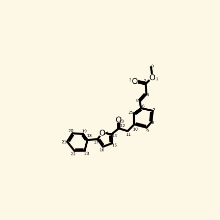 COC(=O)/C=C/c1cccc(CC(=O)c2ccc(-c3ccccc3)o2)c1